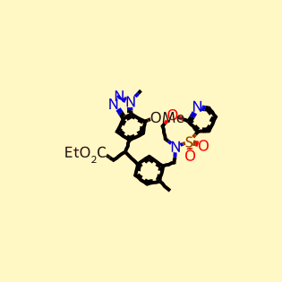 CCOC(=O)CC(c1ccc(C)c(CN2CCOc3ncccc3S2(=O)=O)c1)c1cc(OC)c2c(c1)nnn2C